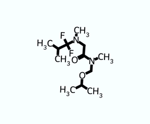 CC(C)OCN(C)C(=O)CN(C)C(F)(F)C(C)C